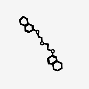 c1cc2c(cc1OCCOCCOc1ccc3c(c1)CCCC3)CCCC2